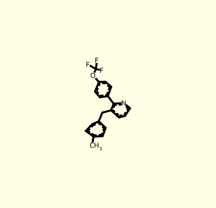 Cc1ccc(Cc2cccnc2-c2ccc(OC(F)(F)F)cc2)cc1